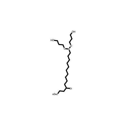 CCCCCCCCCCCCC(CC)CCCCCCCCCCN(OCCCO)OCCCO